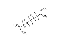 C=CC(=C)C(F)(F)C(F)(F)C(F)(F)C(F)(F)C(F)(F)C(=C)C=C